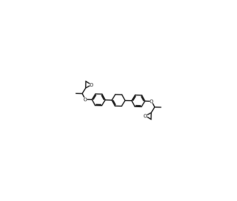 CC(Oc1ccc(C2=CCC(c3ccc(OC(C)C4CO4)cc3)CC2)cc1)C1CO1